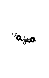 O=C(NCc1ccc(C(F)(F)F)cc1)C1Cc2cc(F)ccc2N1